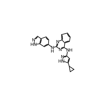 c1ccc2c(Nc3cc(C4CC4)[nH]n3)nc(Nc3ccc4cn[nH]c4c3)nc2c1